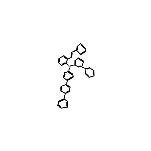 C(=C\c1ccccc1N(c1ccc(-c2ccc(-c3ccccc3)cc2)cc1)c1cccc(-c2ccccc2)c1)/c1ccccc1